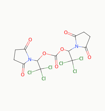 O=C(OC(N1C(=O)CCC1=O)C(Cl)(Cl)Cl)OC(N1C(=O)CCC1=O)C(Cl)(Cl)Cl